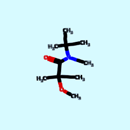 COC(C)(C)C(=O)N(C)C(C)(C)C